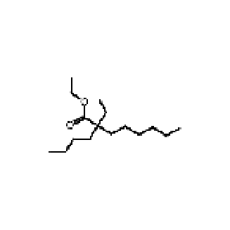 CCCCCCC(CC)(CCCC)C(=O)OCC